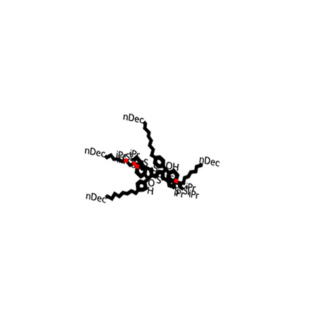 CCCCCCCCCCCCCCCCCCc1ccc(C(O)(c2ccc(CCCCCCCCCCCCCCCCCC)cc2)c2c(-c3cc4sc([Si](C(C)C)(C(C)C)C(C)C)cc4s3)sc3c(C(O)(c4ccc(CCCCCCCCCCCCCCCCCC)cc4)c4ccc(CCCCCCCCCCCCCCCCCC)cc4)c(-c4cc5sc([Si](C(C)C)(C(C)C)C(C)C)cc5s4)sc23)cc1